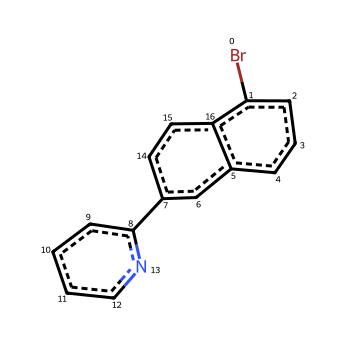 Brc1cccc2cc(-c3ccccn3)ccc12